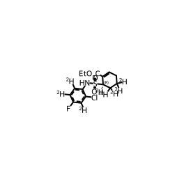 [2H]c1c([2H])c(NS(=O)(=O)[C@@]2([2H])C(C(=O)OCC)=CCC([2H])([2H])C2([2H])[2H])c(Cl)c([2H])c1F